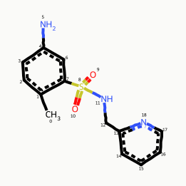 Cc1ccc(N)cc1S(=O)(=O)NCc1ccccn1